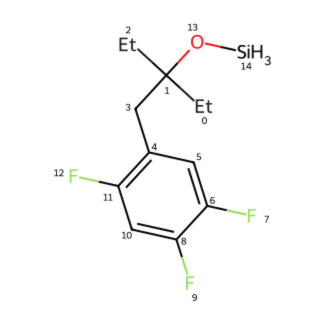 CCC(CC)(Cc1cc(F)c(F)cc1F)O[SiH3]